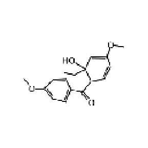 CCC1(O)C=C(OC)C=CC1C(=O)c1ccc(OC)cc1